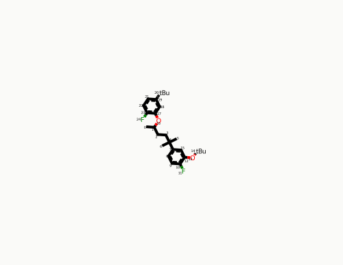 CC(CCC(C)(C)c1ccc(F)c(OC(C)(C)C)c1)Oc1cc(C(C)(C)C)ccc1F